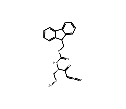 CC(C)(C)OC[C@@H](NC(=O)OCC1c2ccccc2-c2ccccc21)C(=O)C=[N+]=[N-]